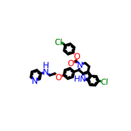 O=C(Oc1ccc(Cl)cc1)N1CCc2c([nH]c3ccc(Cl)cc23)C1c1ccc(OCCNc2cccnc2)cc1